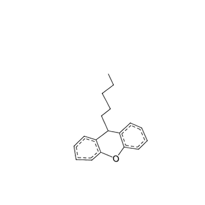 CCCCCC1c2ccccc2Oc2ccccc21